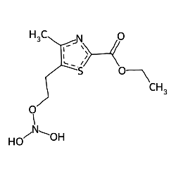 CCOC(=O)c1nc(C)c(CCON(O)O)s1